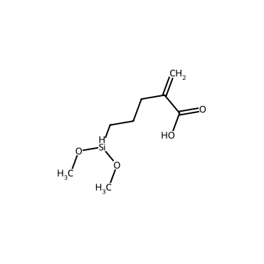 C=C(CCC[SiH](OC)OC)C(=O)O